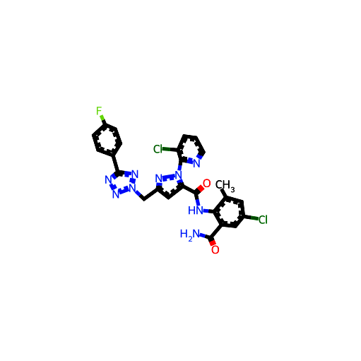 Cc1cc(Cl)cc(C(N)=O)c1NC(=O)c1cc(Cn2nnc(-c3ccc(F)cc3)n2)nn1-c1ncccc1Cl